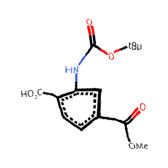 COC(=O)c1ccc(C(=O)O)c(NC(=O)OC(C)(C)C)c1